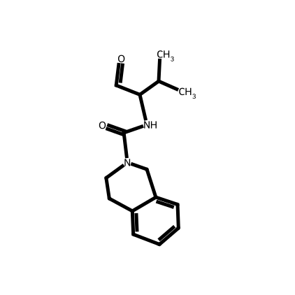 CC(C)C(C=O)NC(=O)N1CCc2ccccc2C1